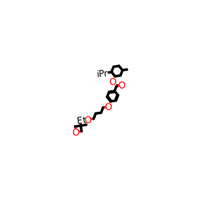 CCC1(COCCCCOc2ccc(C(=O)OC3CC(C)CCC3C(C)C)cc2)COC1